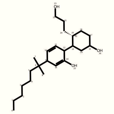 CCCCCCC(C)(C)C1C=CC(C2CC(O)CC[C@H]2CCCO)C(O)=C1